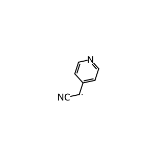 N#C[CH]c1ccncc1